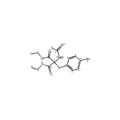 CCOC(=O)C(Cc1ccc(S)cc1)(NC(C)=O)C(=O)OCC